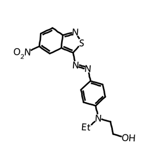 CCN(CCO)c1ccc(N=Nc2snc3ccc([N+](=O)[O-])cc23)cc1